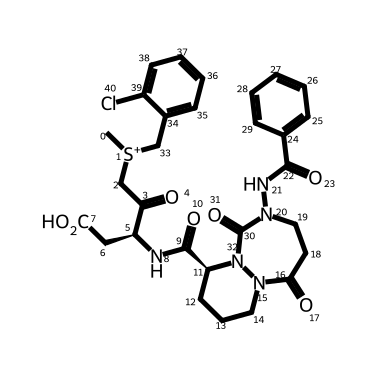 C[S+](CC(=O)[C@H](CC(=O)O)NC(=O)[C@@H]1CCCN2C(=O)CCN(NC(=O)c3ccccc3)C(=O)N12)Cc1ccccc1Cl